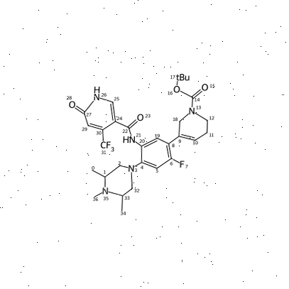 CC1CN(c2cc(F)c(C3=CCCN(C(=O)OC(C)(C)C)C3)cc2NC(=O)c2c[nH]c(=O)cc2C(F)(F)F)CC(C)N1C